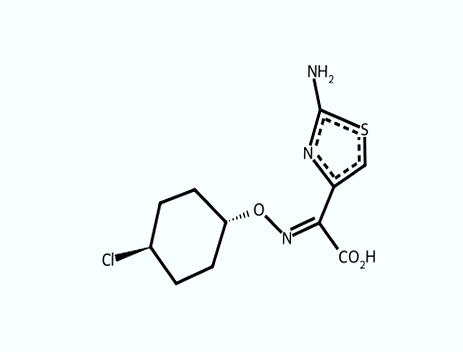 Nc1nc(C(=NO[C@H]2CC[C@H](Cl)CC2)C(=O)O)cs1